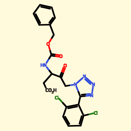 O=C(O)CC(NC(=O)OCc1ccccc1)C(=O)Cn1nnnc1-c1c(Cl)cccc1Cl